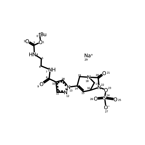 CC(C)(C)OC(=O)NCCNC(=O)c1cnn(C2=CC3CN(C2)C(=O)N3OS(=O)(=O)[O-])c1.[Na+]